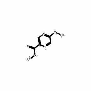 COc1cnc(C(=O)SC)cn1